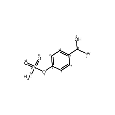 CC(C)C(O)c1ccc(OS(C)(=O)=O)cc1